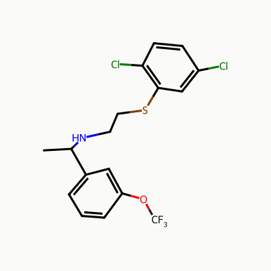 CC(NCCSc1cc(Cl)ccc1Cl)c1cccc(OC(F)(F)F)c1